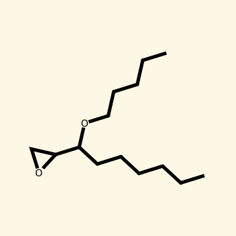 CCCCCCC(OCCCCC)C1CO1